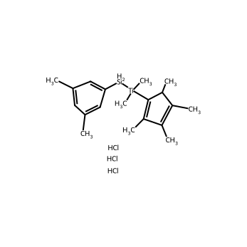 CC1=C(C)C(C)[C]([Ti]([CH3])([CH3])[SiH2]c2cc(C)cc(C)c2)=C1C.Cl.Cl.Cl